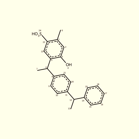 Cc1cc(O)c(C(C)c2ccc(C(C)c3ccccc3)cc2)cc1S(=O)(=O)O